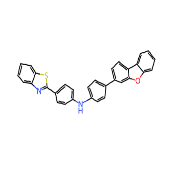 c1ccc2sc(-c3ccc(Nc4ccc(-c5ccc6c(c5)oc5ccccc56)cc4)cc3)nc2c1